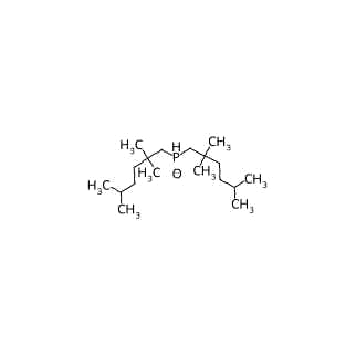 CC(C)CCC(C)(C)C[PH](=O)CC(C)(C)CCC(C)C